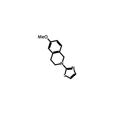 COc1ccc2c(c1)CCN(c1nccs1)C2